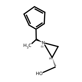 CC(c1ccccc1)[N@@]1C[C@@H]1CO